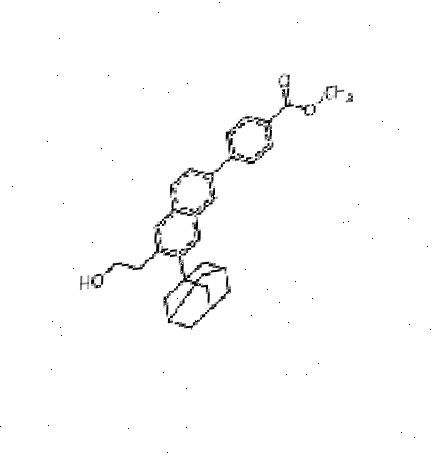 COC(=O)c1ccc(-c2ccc3cc(CCO)c(C45CC6CC(CC(C6)C4)C5)cc3c2)cc1